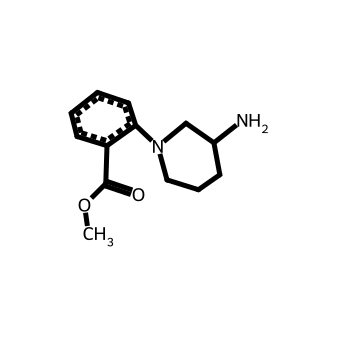 COC(=O)c1ccccc1N1CCCC(N)C1